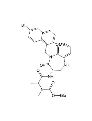 COc1ccc2cc(Br)ccc2c1CN1C(=O)[C@@H](NC(=O)C(C)N(C)C(=O)OC(C)(C)C)CNc2ccccc21